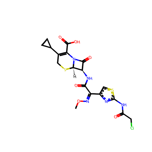 CO/N=C(\C(=O)N[C@@H]1C(=O)N2C(C(=O)O)=C(C3CC3)CS[C@H]12)c1csc(NC(=O)CCl)n1